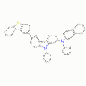 c1ccc(N(c2ccc3ccccc3c2)c2ccc3c4cc(-c5ccc6sc7ccccc7c6c5)ccc4n(-c4ccccc4)c3c2)cc1